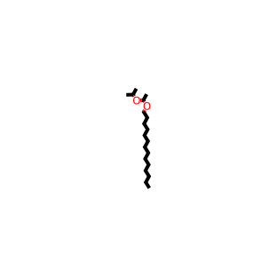 CCCCCCCCCCCCCCOC(C)OC(C)C